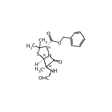 CC1(C)S[C@H]2N(C(=O)[C@@]2(C)NC=O)[C@H]1C(=O)OCc1ccccc1